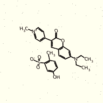 CCN(CC)c1ccc2cc(-c3cc[n+](C)cc3)c(=O)oc2c1.Cc1ccc(O)cc1S(=O)(=O)[O-]